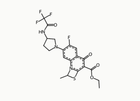 CCOC(=O)c1c2n(c3cc(N4CCC(NC(=O)C(F)(F)F)C4)c(F)cc3c1=O)C(C)S2